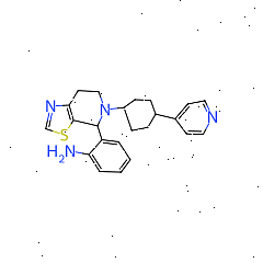 Nc1ccccc1C1c2scnc2CCN1C1CCC(c2ccncc2)CC1